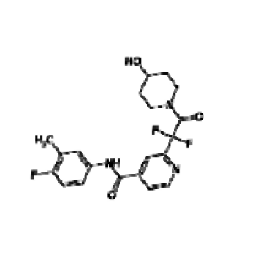 Cc1cc(NC(=O)c2ccnc(C(F)(F)C(=O)N3CCC(O)CC3)c2)ccc1F